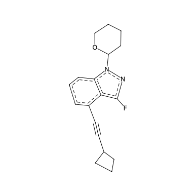 Fc1nn(C2CCCCO2)c2cccc(C#CC3CCC3)c12